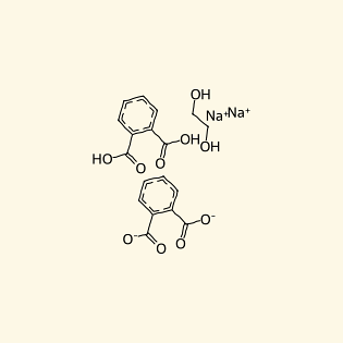 O=C(O)c1ccccc1C(=O)O.O=C([O-])c1ccccc1C(=O)[O-].OCCO.[Na+].[Na+]